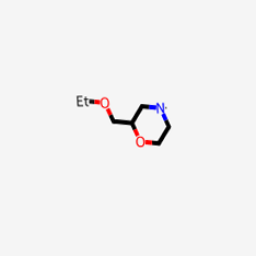 CCOCC1C[N]CCO1